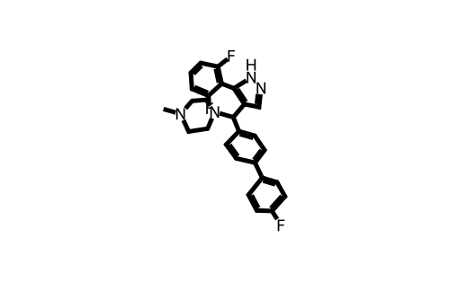 CN1CCN(C(c2ccc(-c3ccc(F)cc3)cc2)c2cn[nH]c2-c2c(F)cccc2F)CC1